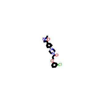 Cc1ncc(-c2ccc(N3CCN(C(=O)CCOc4cccc(Cl)c4)CC3)cc2)o1